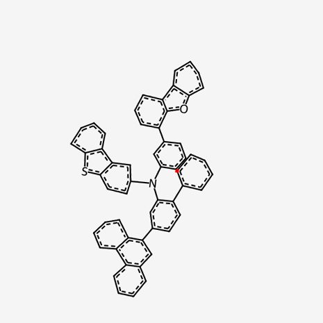 c1ccc(-c2ccc(-c3cc4ccccc4c4ccccc34)cc2N(c2cccc(-c3cccc4c3oc3ccccc34)c2)c2ccc3sc4ccccc4c3c2)cc1